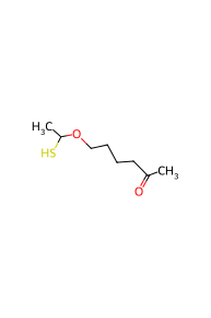 CC(=O)CCCCOC(C)S